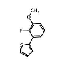 COc1cccc(-c2cccs2)c1F